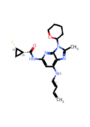 C=C/C=C/Nc1cc(NC(=O)[C@@H]2C[C@@H]2F)nc2c1nc(C)n2C1CCCCO1